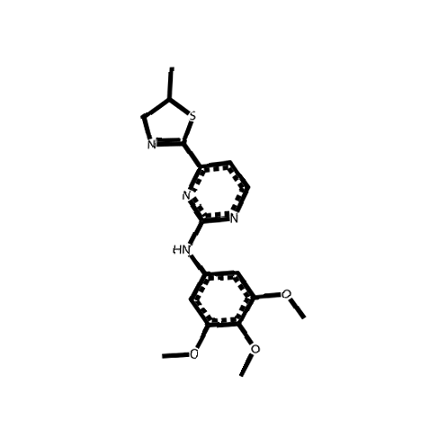 COc1cc(Nc2nccc(C3=NCC(C)S3)n2)cc(OC)c1OC